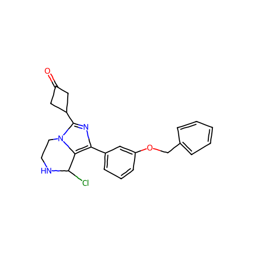 O=C1CC(c2nc(-c3cccc(OCc4ccccc4)c3)c3n2CCNC3Cl)C1